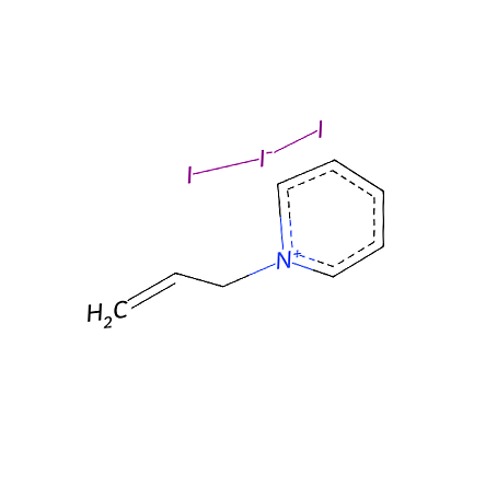 C=CC[n+]1ccccc1.I[I-]I